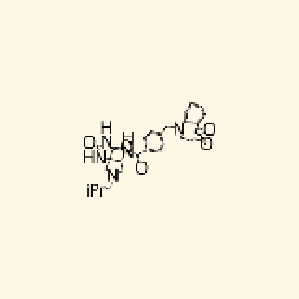 CC(C)CN1C[C@@H](NC(=O)c2ccc(CN3CCS(=O)(=O)c4ccccc43)cc2)[C@]2(C1)NC(=O)NC2=O